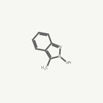 CCCn1nc2cc[c]cc2c1C